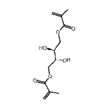 C=C(C)C(=O)OC[C@@H](O)[C@@H](O)COC(=O)C(=C)C